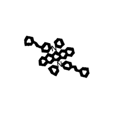 C(=Cc1ccc(N(c2ccccc2)c2c3cc4ccccc4cc3c(N(c3ccccc3)c3ccc(C=Cc4ccccc4)cc3)c3cc4ccccc4cc23)cc1)c1ccccc1